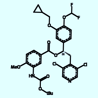 COc1ccc(C(=O)O[C@@H](Cc2c(Cl)cncc2Cl)c2ccc(OC(F)F)c(OCC3CC3)c2)cc1NC(=O)OC(C)(C)C